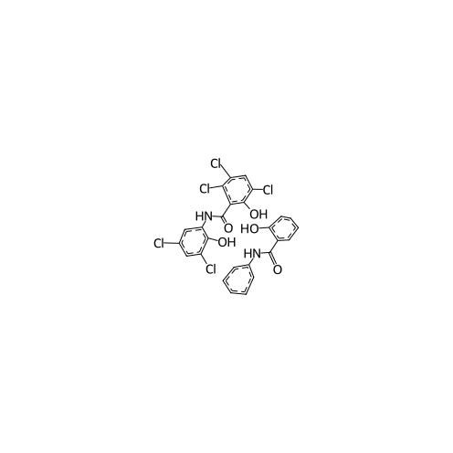 O=C(Nc1cc(Cl)cc(Cl)c1O)c1c(O)c(Cl)cc(Cl)c1Cl.O=C(Nc1ccccc1)c1ccccc1O